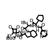 CCC1C(=O)C(=O)C1(NOCC(C)C)NC(=O)C1CC2CCCCC2N1C(=O)C(NC(=O)C(NC(=O)c1cnccn1)C1CCCCC1)C(C)(C)C